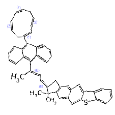 C/C(=C\C=C1/Cc2cc3cc4c(cc3cc2C1(C)C)sc1ccccc14)c1c2ccccc2c(/C2=C/C=C\C/C=C\C=C/C2)c2ccccc12